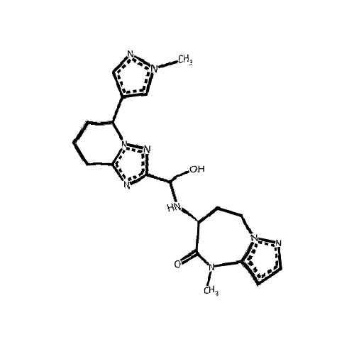 CN1C(=O)[C@@H](NC(O)c2nc3n(n2)C(c2cnn(C)c2)CCC3)CCn2nccc21